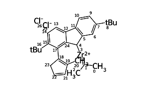 C[C](C)=[Zr+2][CH]1c2cc(C(C)(C)C)ccc2-c2ccc(C(C)(C)C)c(C3=C(C)C=CC3)c21.[Cl-].[Cl-]